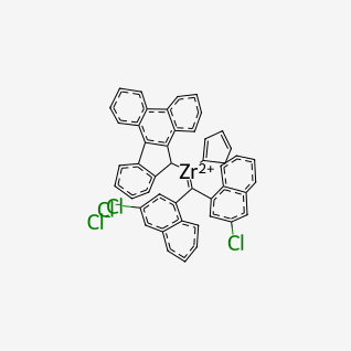 Clc1cc([C](c2cc(Cl)cc3ccccc23)=[Zr+2]([C]2=CC=CC2)[CH]2c3ccccc3-c3c2c2ccccc2c2ccccc32)c2ccccc2c1.[Cl-].[Cl-]